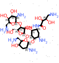 NC[C@@H](O)C(O)C(=O)N[C@@H]1C[C@H](N)[C@@H](O[C@H]2O[C@H](CN)[C@@H](O)C[C@H]2N)[C@H](O[C@@H]2O[C@H](CO)[C@@H](O[C@H]3O[C@@H](CN)[C@@H](O)[C@H](O)[C@H]3N)[C@H]2O)[C@H]1O